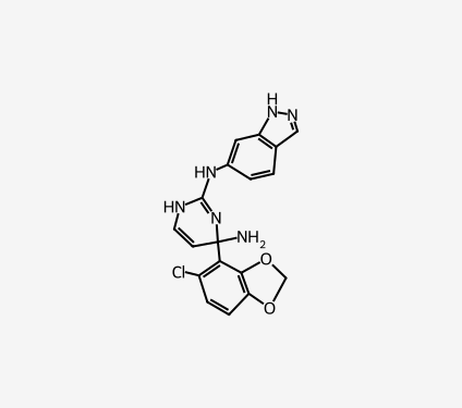 NC1(c2c(Cl)ccc3c2OCO3)C=CNC(Nc2ccc3cn[nH]c3c2)=N1